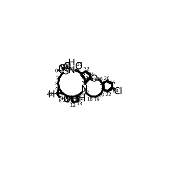 C[C@@H]1CCC2[C@H]3C[C@@]23[C@](C)(O)[C@@H]2CC[C@H]2CN2CCCCc3cc(Cl)ccc3COc3ccc(cc32)C(=O)NS1(=O)=O